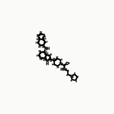 O=C(NCCN1CCCC1)N1CC=C(c2cc3c(Nc4ccc5ncsc5c4)ccnc3[nH]2)CC1